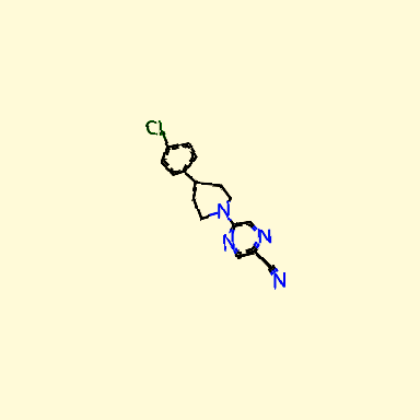 N#Cc1cnc(N2CCC(c3ccc(Cl)cc3)CC2)cn1